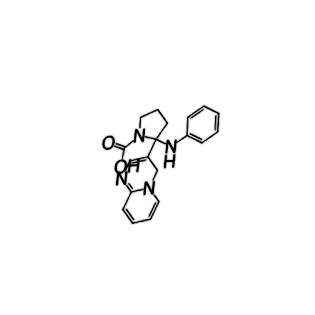 O=C(O)N1CCCC1(Nc1ccccc1)C1=CN=C2C=CC=CN2C1